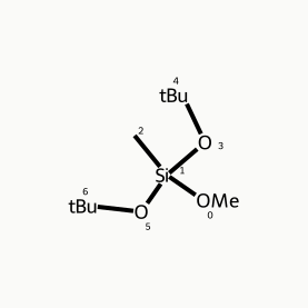 CO[Si](C)(OC(C)(C)C)OC(C)(C)C